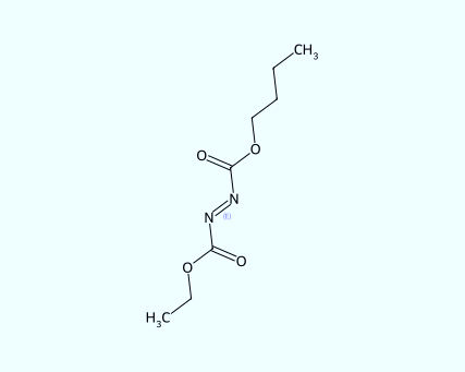 CCCCOC(=O)/N=N/C(=O)OCC